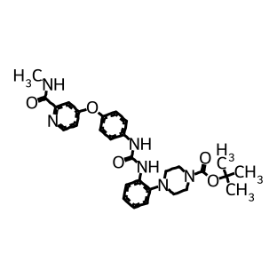 CNC(=O)c1cc(Oc2ccc(NC(=O)Nc3ccccc3N3CCN(C(=O)OC(C)(C)C)CC3)cc2)ccn1